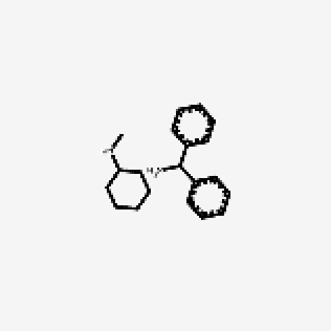 CNC1CCCCC1.NC(c1ccccc1)c1ccccc1